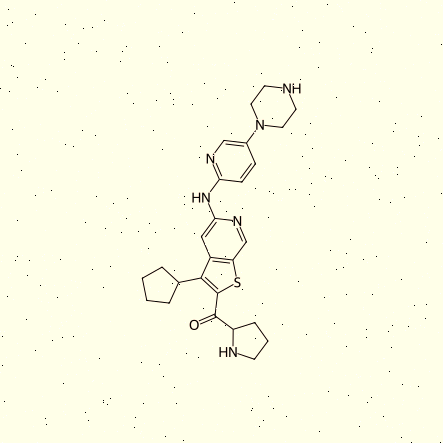 O=C(c1sc2cnc(Nc3ccc(N4CCNCC4)cn3)cc2c1C1CCCC1)C1CCCN1